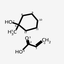 C=CC(=O)O.CC1(O)CCCCC1